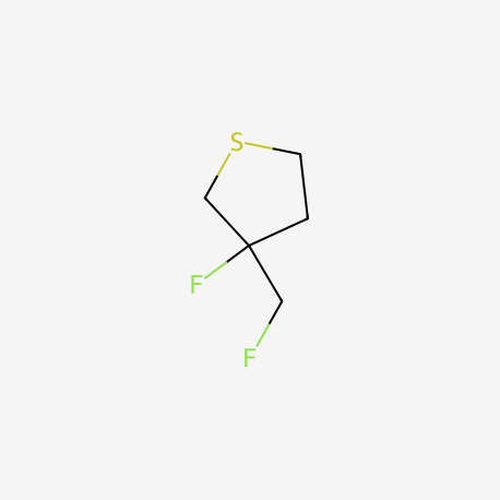 FCC1(F)CCSC1